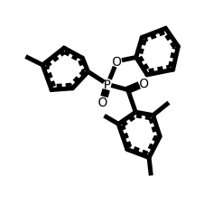 Cc1ccc(P(=O)(Oc2ccccc2)C(=O)c2c(C)cc(C)cc2C)cc1